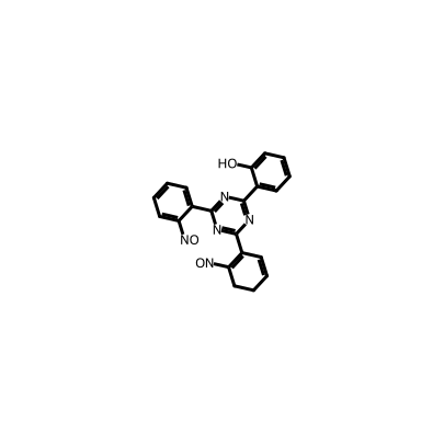 O=NC1=C(c2nc(-c3ccccc3O)nc(-c3ccccc3N=O)n2)C=CCC1